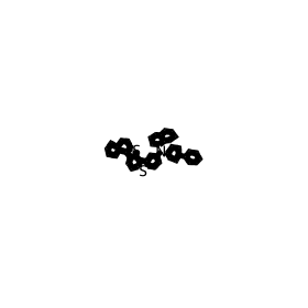 c1ccc(-c2ccc(N(c3ccc4sc5ccc6c(sc7ccc8ccccc8c76)c5c4c3)c3cccc4ccccc34)cc2)cc1